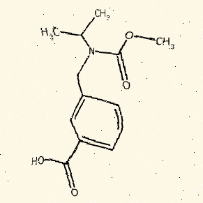 COC(=O)N(Cc1cccc(C(=O)O)c1)C(C)C